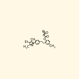 CCc1c(C)nn(-c2ccc(CCc3cc(C)ccc3OC(=O)N=S(=O)=O)cc2)c1C